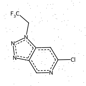 FC(F)(F)Cn1nnc2cnc(Cl)cc21